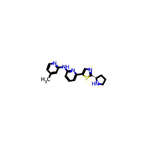 Cc1ccnc(Nc2cccc(-c3cnc([C@@H]4CCCN4)s3)n2)c1